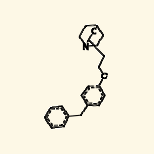 c1ccc(Cc2ccc(OCCC3CC4CCN3CC4)cc2)cc1